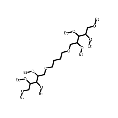 CCOCC(OCC)C(OCC)C(COCCCCOCC(OCC)C(OCC)C(COCC)OCC)OCC